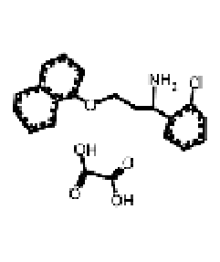 NC(CCOc1cccc2ccccc12)c1ccccc1Cl.O=C(O)C(=O)O